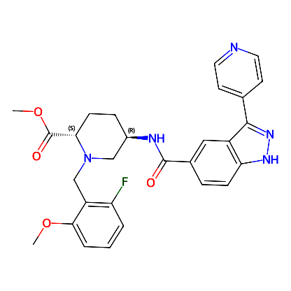 COC(=O)[C@@H]1CC[C@@H](NC(=O)c2ccc3[nH]nc(-c4ccncc4)c3c2)CN1Cc1c(F)cccc1OC